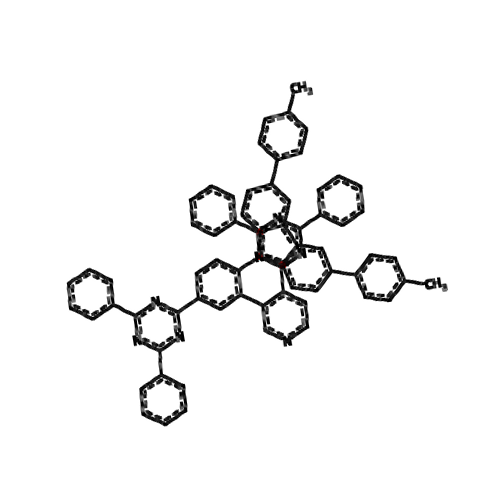 Cc1ccc(-c2ccc3c(c2)c2cc(-c4ccc(C)cc4)ccc2n3-c2ccc(-c3nc(-c4ccccc4)nc(-c4ccccc4)n3)cc2-c2cnccc2-c2nc(-c3ccccc3)nc(-c3ccccc3)n2)cc1